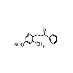 COc1ccc(CCC(=O)c2ccccc2)c(C)c1